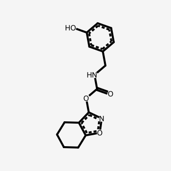 O=C(NCc1cccc(O)c1)Oc1noc2c1CCCC2